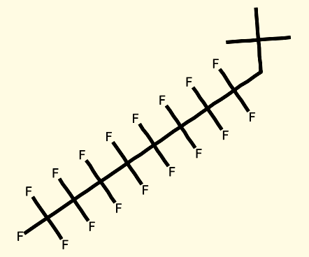 CC(C)(C)CC(F)(F)C(F)(F)C(F)(F)C(F)(F)C(F)(F)C(F)(F)C(F)(F)C(F)(F)F